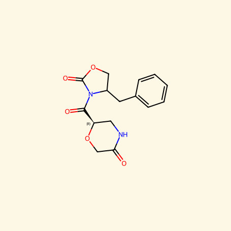 O=C1CO[C@@H](C(=O)N2C(=O)OCC2Cc2ccccc2)CN1